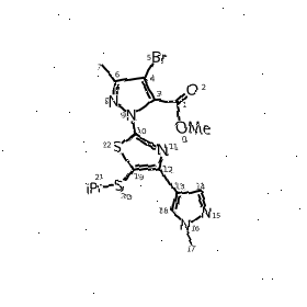 COC(=O)c1c(Br)c(C)nn1-c1nc(-c2cnn(C)c2)c(SC(C)C)s1